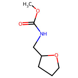 COC(=O)NCC1CCCO1